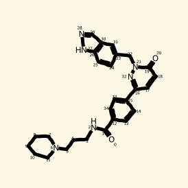 O=C(NCCCN1CCCCC1)c1ccc(-c2ccc(=O)n(Cc3ccc4[nH]ncc4c3)n2)cc1